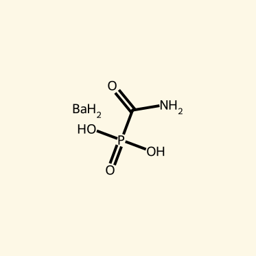 NC(=O)P(=O)(O)O.[BaH2]